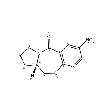 O=C1c2cc([N+](=O)[O-])cnc2OC[C@@H]2CCCN12